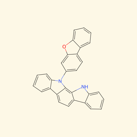 c1ccc2c(c1)[nH]c1c2ccc2c3ccccc3n(-c3ccc4c(c3)oc3ccccc34)c21